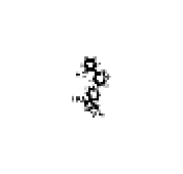 Cn1cc(C2(C(=O)O)CCN(c3cnnc(-c4ccccc4O)c3)CC2)cn1